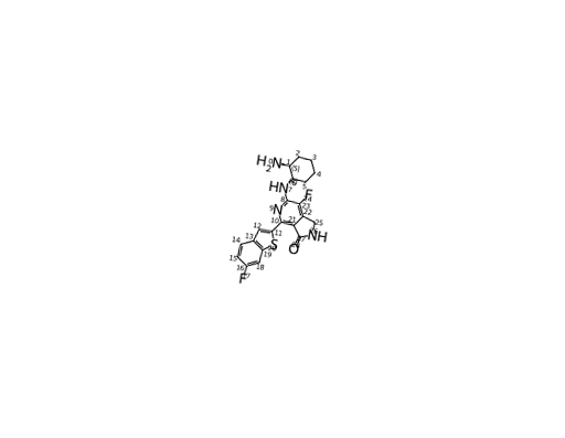 N[C@H]1CCCC[C@H]1Nc1nc(-c2cc3ccc(F)cc3s2)c2c(c1F)CNC2=O